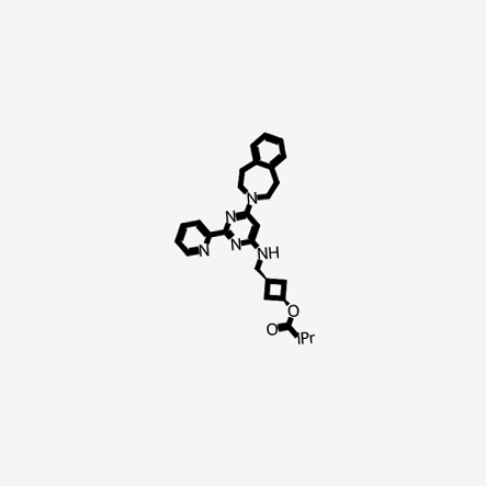 CC(C)C(=O)O[C@H]1C[C@@H](CNc2cc(N3CCc4ccccc4CC3)nc(-c3ccccn3)n2)C1